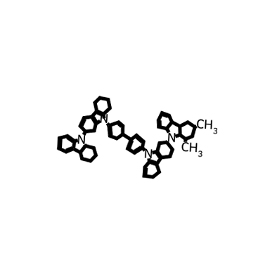 CC1CC(C)C2C(C1)C1C=CC=CC1N2C1CCc2c3c(n(-c4ccc(C5C=CC(n6c7c(c8c6CCCC8)C=CC(N6c8ccccc8C8CCCCC86)C7)=CC5)cc4)c2C1)C=CCC3